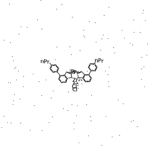 CCCc1ccc(-c2cccc3c2C=C(C(C)C)[CH]3[Zr+2]2([CH]3C(C(C)C)=Cc4c(-c5ccc(CCC)cc5)cccc43)[CH2][CH2]2)cc1.[Cl-].[Cl-]